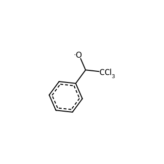 [O]C(c1ccccc1)C(Cl)(Cl)Cl